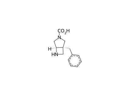 O=C(O)N1C[C@@H]2NC[C@]2(Cc2ccccc2)C1